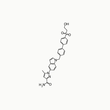 Cc1cc(C(N)=O)nn1-c1ccc2c(ccn2Cc2ccc(-c3ccc(S(=O)(=O)CCO)cc3)cc2)c1